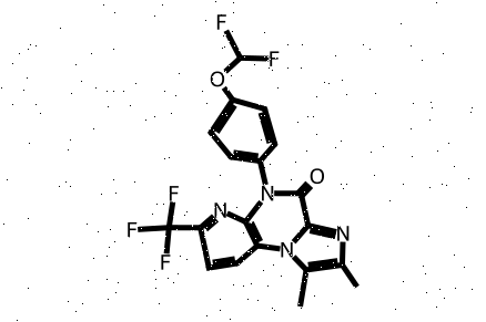 Cc1nc2c(=O)n(-c3ccc(OC(F)F)cc3)c3nc(C(F)(F)F)ccc3n2c1C